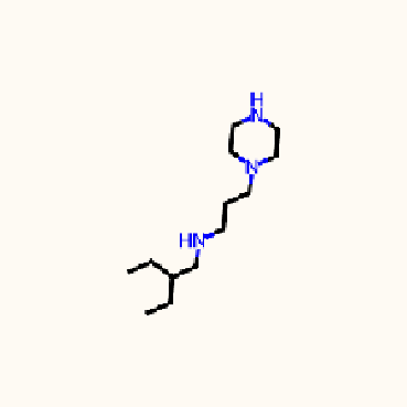 CCC(CC)CNCCCN1CCNCC1